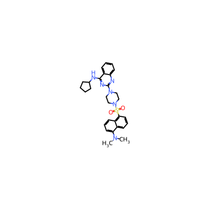 CN(C)c1cccc2c(S(=O)(=O)N3CCN(c4nc(NC5CCCC5)c5ccccc5n4)CC3)cccc12